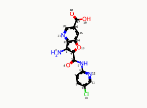 Nc1c(C(=O)Nc2ccc(Cl)cn2)oc2cc(C(=O)O)cnc12